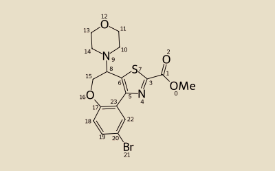 COC(=O)c1nc2c(s1)C(N1CCOCC1)COc1ccc(Br)cc1-2